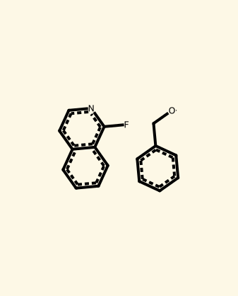 Fc1nccc2ccccc12.[O]Cc1ccccc1